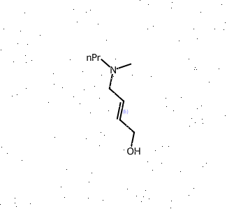 CCCN(C)C/C=C/CO